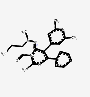 CCCN(C)/N=c1/c(-c2cc(C)nc(C)c2)c(-c2ccccc2)nc(N)n1C=O